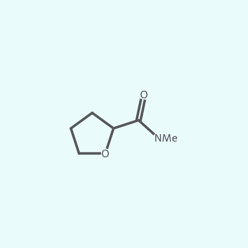 CNC(=O)C1CCCO1